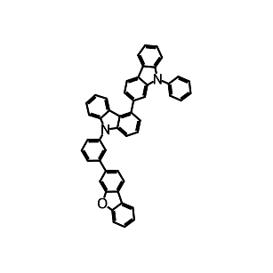 c1ccc(-n2c3ccccc3c3ccc(-c4cccc5c4c4ccccc4n5-c4cccc(-c5ccc6c(c5)oc5ccccc56)c4)cc32)cc1